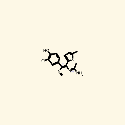 C=N/C(=C(\N=C(/C)N)c1ccc(C)s1)c1ccc(O)c(Cl)c1